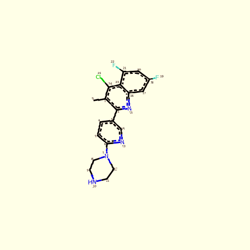 Cc1c(-c2ccc(N3CCNCC3)nc2)nc2cc(F)cc(F)c2c1Cl